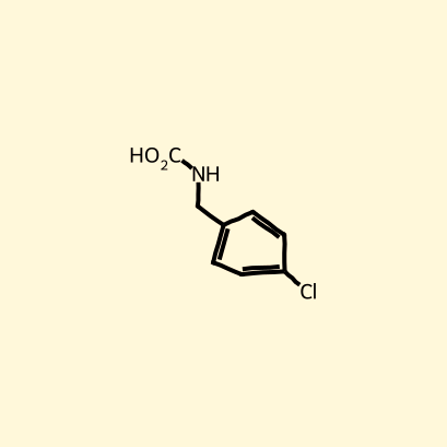 O=C(O)NCc1ccc(Cl)cc1